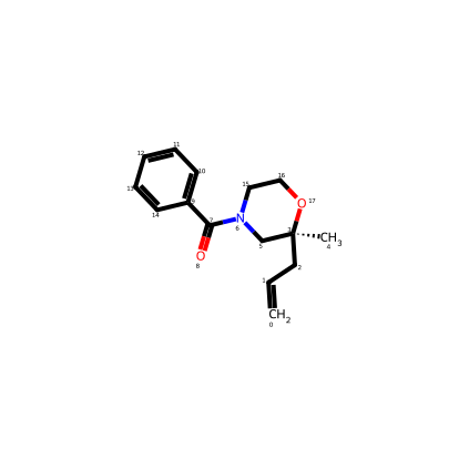 C=CC[C@@]1(C)CN(C(=O)c2ccccc2)CCO1